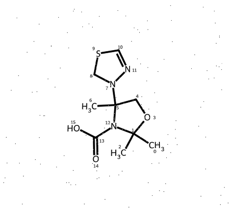 CC1(C)OCC(C)(N2CSC=N2)N1C(=O)O